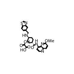 COc1ccc2nccc(NC(=O)[C@H]3CC[C@H](NCc4ccc5scnc5c4)CC3)c2n1.O=C(O)C(=O)O